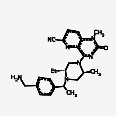 CC[C@@H]1CN(c2nc(=O)n(C)c3ccc(C#N)nc23)[C@@H](C)CN1C(C)c1ccc(CN)cc1